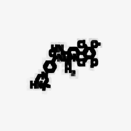 COc1cc(OC)c(Cl)c(-c2ccc(C(=N)NC(=O)c3ccc(N4CCNC(C)(C)C4)cc3)c(N)n2)c1Cl